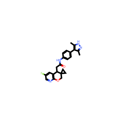 Cc1n[nH]c(C)c1-c1ccc(NC(=O)CC2c3cc(F)cnc3OCC23CC3)cc1